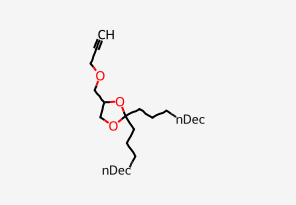 C#CCOCC1COC(CCCCCCCCCCCCC)(CCCCCCCCCCCCC)O1